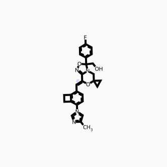 Cc1cn(-c2ccc(/C=C3\OC4(CC4)CN4C3=NOC4(CO)c3ccc(F)cc3)c3c2CC3)cn1